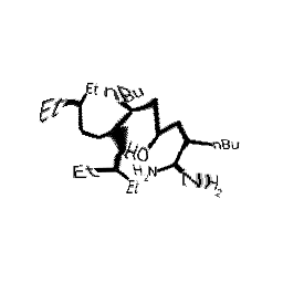 CCCCC(CC(O)CC(CCCC)C(CC(CC)CC)CC(CC)CC)C(N)N